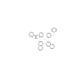 CC1(C)c2ccccc2-c2ccc(N3B4c5c(cc6ccccc6c5-c5cc6ccccc6cc53)-n3c5sc6ccccc6c5c5cccc4c53)cc21